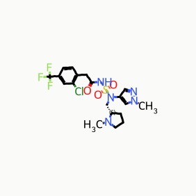 CN1CCC[C@H]1CN(c1cnn(C)c1)S(=O)(=O)NC(=O)Cc1ccc(C(F)(F)F)cc1Cl